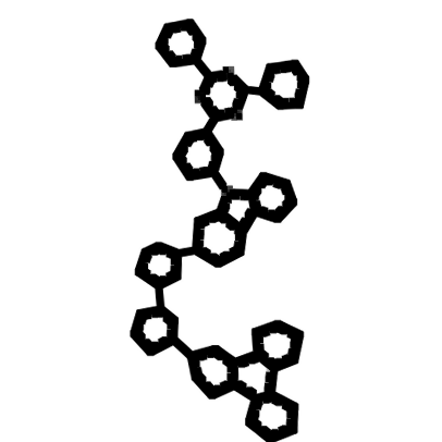 c1ccc(-c2nc(-c3ccccc3)nc(-c3cccc(-n4c5ccccc5c5ccc(-c6cccc(-c7cccc(-c8ccc9c%10ccccc%10c%10ccccc%10c9c8)c7)c6)cc54)c3)n2)cc1